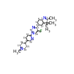 CC1=Nc2ccc(C3=NCN(c4ccc(C5CCN(C)CC5)cn4)C=C3F)cc2C1(C)C